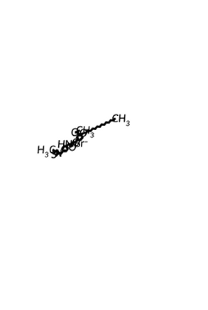 CCCCCCCCCCCCCCOc1ccc(OCC(=O)Nc2ccc(C[n+]3csc(C)c3)cc2)cc1C(C)=O.[Br-]